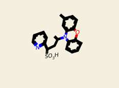 Cc1ccc2c(c1)N(C(C)CC(c1ccccn1)S(=O)(=O)O)c1ccccc1O2